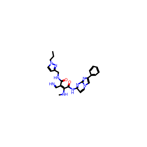 CCCn1ccc(CNC(=O)/C(C=N)=C(/NC)C(=O)Nc2ccn3cc(-c4ccccc4)nc3n2)n1